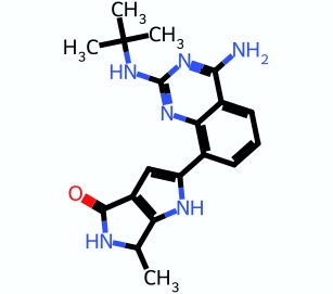 CC1NC(=O)c2cc(-c3cccc4c(N)nc(NC(C)(C)C)nc34)[nH]c21